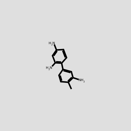 Cc1ccc(-c2ccc(N)cc2N)cc1N